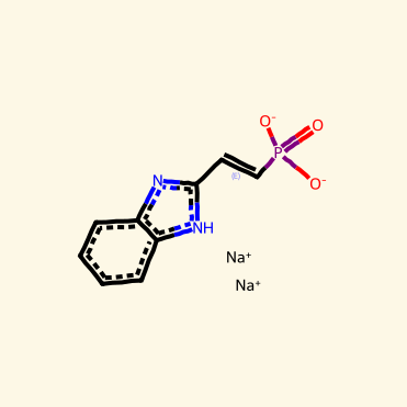 O=P([O-])([O-])/C=C/c1nc2ccccc2[nH]1.[Na+].[Na+]